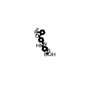 O=C(O)Oc1ccc2[nH]c(-c3ccc(C(=O)c4ccccc4C(F)(F)F)cc3)nc2c1